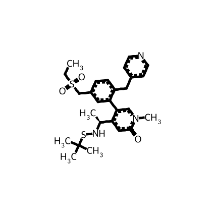 CCS(=O)(=O)Cc1ccc(Cc2ccncc2)c(-c2cn(C)c(=O)cc2[C@H](C)NSC(C)(C)C)c1